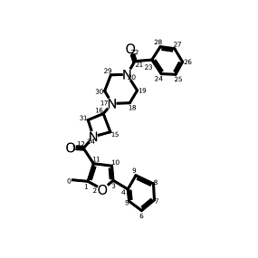 Cc1oc(-c2ccccc2)cc1C(=O)N1CC(N2CCN(C(=O)c3ccccc3)CC2)C1